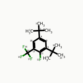 CC(C)(C)c1cc(C(C)(C)C)c(F)c(C(F)(F)F)c1